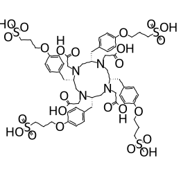 O=C(O)CN1C[C@H](Cc2ccc(OCCCS(=O)(=O)O)cc2)N(CC(=O)O)C[C@H](Cc2ccc(OCCCS(=O)(=O)O)cc2)N(CC(=O)O)C[C@H](Cc2ccc(OCCCS(=O)(=O)O)cc2)N(CC(=O)O)C[C@@H]1Cc1ccc(OCCCS(=O)(=O)O)cc1